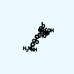 CCOC(=O)CN(C(=O)/C(C)=C/c1ccc(C(=O)Oc2ccc(C(=N)N)cc2)cc1)[C@@](CC)(C(=O)O)C(CC)C(=O)O